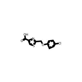 O=C(O)c1csc(COc2ccc(Cl)cc2)n1